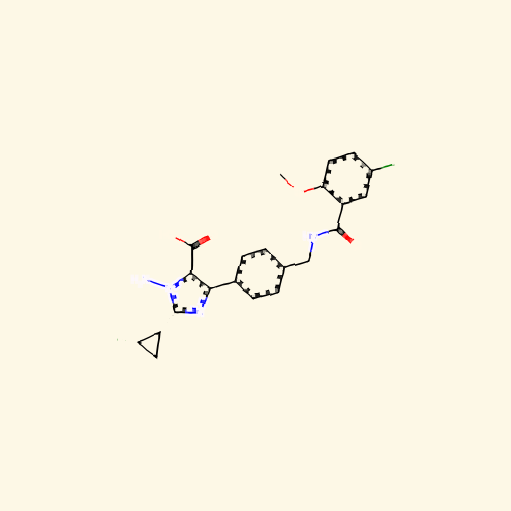 COc1ccc(F)cc1C(=O)NCc1ccc(-c2nc([C@@H]3C[C@@H]3F)n(N)c2C(=O)O)cc1